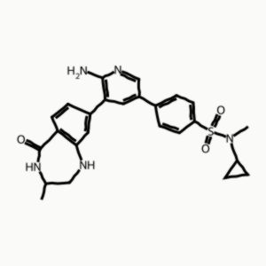 CC1CNc2cc(-c3cc(-c4ccc(S(=O)(=O)N(C)C5CC5)cc4)cnc3N)ccc2C(=O)N1